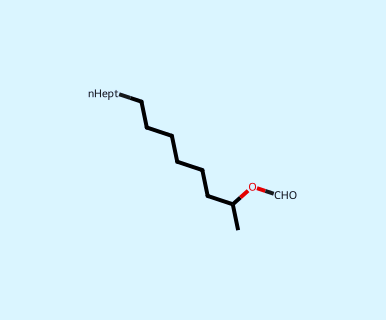 CCCCCCCCCCCCCC(C)OC=O